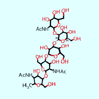 CC(=O)NC1C(C)OC(CO)C(OC2OC(CO)C(OC3OC(CO)C(O)C(O[C@H]4O[C@H](CO)C(O)C(O)C4OC4OC(CO)C(O)C(O)C4NC(C)=O)C3O)C(O)C2NC(C)=O)C1O